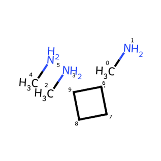 CN.CN.CN.[CH]1CCC1